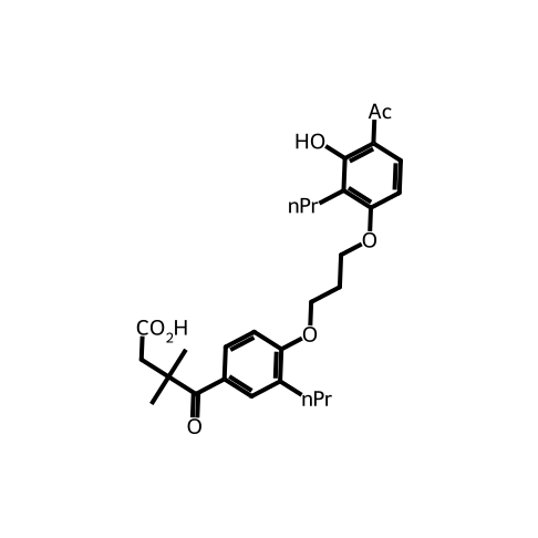 CCCc1cc(C(=O)C(C)(C)CC(=O)O)ccc1OCCCOc1ccc(C(C)=O)c(O)c1CCC